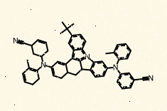 CC1=C(N(C2=CCC3CC4c5ccc(N(c6cccc(C#N)c6)c6ccccc6C)cc5-n5c4c(c4cc(C(C)(C)C)ccc45)C3=C2)C2CC=CC(C#N)C2)CCC=C1